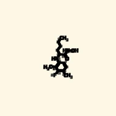 CCCCC(Nc1ccc(C)c(F)c1C)C(=O)NO